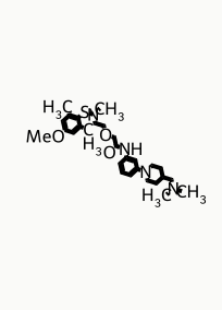 COc1cc(C)c(SN(C)CCOCC(=O)Nc2cccc(N3CCC(CN(C)C)CC3)c2)c(C)c1